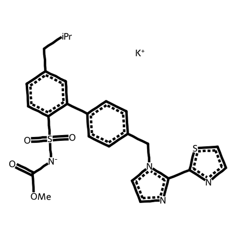 COC(=O)[N-]S(=O)(=O)c1ccc(CC(C)C)cc1-c1ccc(Cn2ccnc2-c2nccs2)cc1.[K+]